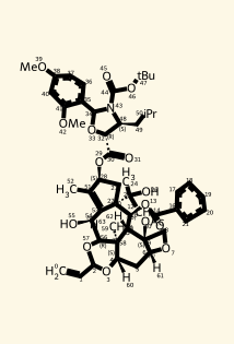 C=CC1O[C@H]2C[C@H]3OC[C@@]3(OC(C)=O)[C@H]3[C@H](OC(=O)c4ccccc4)[C@]4(C(C)(C)O)C[C@H](OC(=O)[C@@H]5OC(c6ccc(OC)cc6OC)N(C(=O)OC(C)(C)C)[C@H]5CC(C)C)C(C)=C4[C@H](O)[C@H](O1)[C@]23C